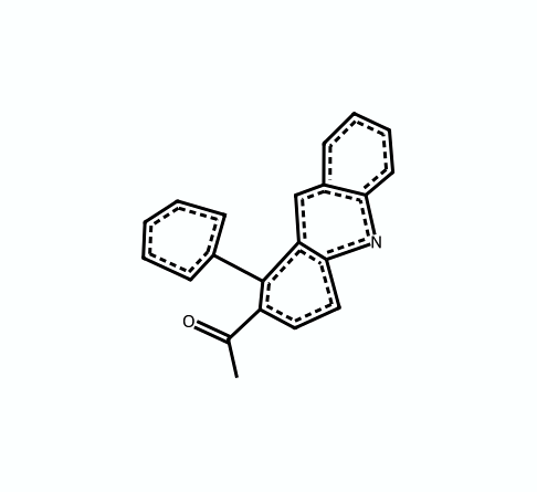 CC(=O)c1ccc2nc3ccccc3cc2c1-c1ccccc1